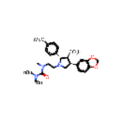 CCCCN(CCCC)C(=O)N(C)CCN1C[C@H](c2ccc3c(c2)OCO3)[C@H](C(=O)O)[C@H]1c1ccc(OC)cc1